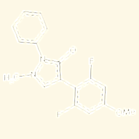 COc1cc(F)c(-c2cn(C)n(-c3ccccc3)c2=O)c(F)c1